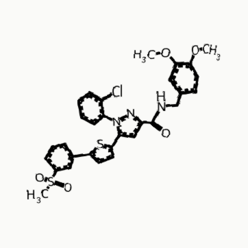 COc1ccc(CNC(=O)c2cc(-c3ccc(-c4cccc(S(C)(=O)=O)c4)s3)n(-c3ccccc3Cl)n2)cc1OC